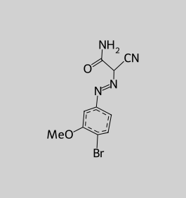 COc1cc(N=NC(C#N)C(N)=O)ccc1Br